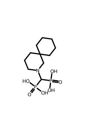 O=P(O)(O)C(N1CCCC2(CCCCC2)C1)P(=O)(O)O